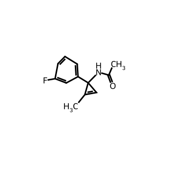 CC(=O)NC1(c2cccc(F)c2)C=C1C